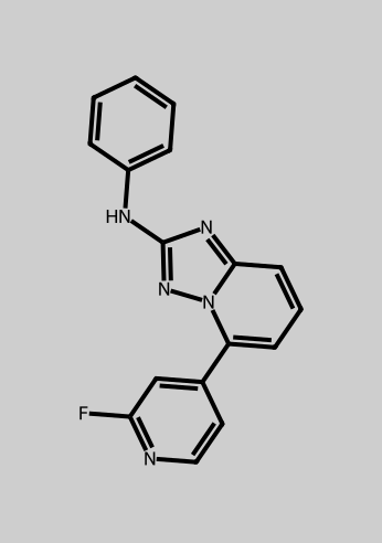 Fc1cc(-c2cccc3nc(Nc4ccccc4)nn23)ccn1